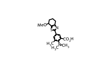 COC1CCCc2nc(-c3cc(C)c(N(C)C)c(C(=O)O)c3)sc21